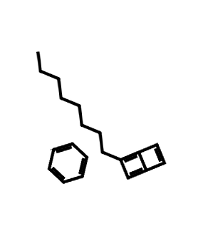 CCCCCCCCc1cc2ccc1-2.[c]1ccccc1